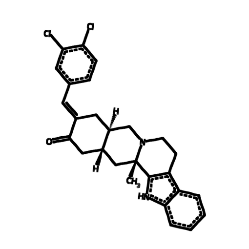 C[C@@]12C[C@@H]3CC(=O)/C(=C/c4ccc(Cl)c(Cl)c4)C[C@H]3CN1CCc1c2[nH]c2ccccc12